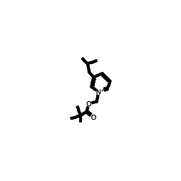 CC(C)Cc1ccc[n+](COC(=O)C(C)(C)C)c1